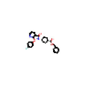 O=C(N[C@H]1CC[C@@H](C(=O)OCc2ccccc2)CC1)c1cccnc1Oc1ccc(F)cc1